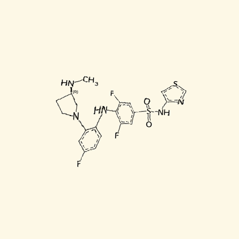 CN[C@@H]1CCN(c2cc(F)ccc2Nc2c(F)cc(S(=O)(=O)Nc3cscn3)cc2F)C1